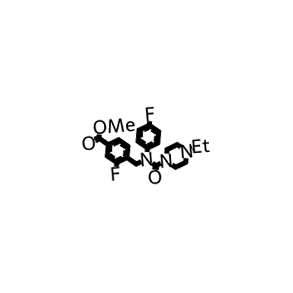 CCN1CCN(C(=O)N(Cc2ccc(C(=O)OC)cc2F)c2ccc(F)cc2)CC1